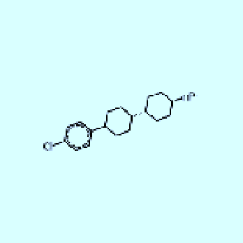 CCC[C@H]1CC[C@H](C2CCC(c3ccc(Cl)cc3)CC2)CC1